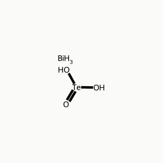 O=[Te](O)O.[BiH3]